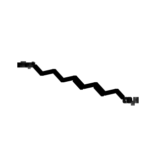 CCCCCCCCCC/C=C/C=C/CC(=O)O